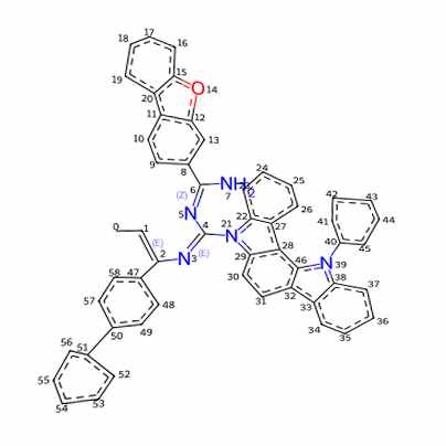 C/C=C(/N=C(\N=C(/N)c1ccc2c(c1)oc1ccccc12)n1c2ccccc2c2c1ccc1c3ccccc3n(-c3ccccc3)c12)c1ccc(-c2ccccc2)cc1